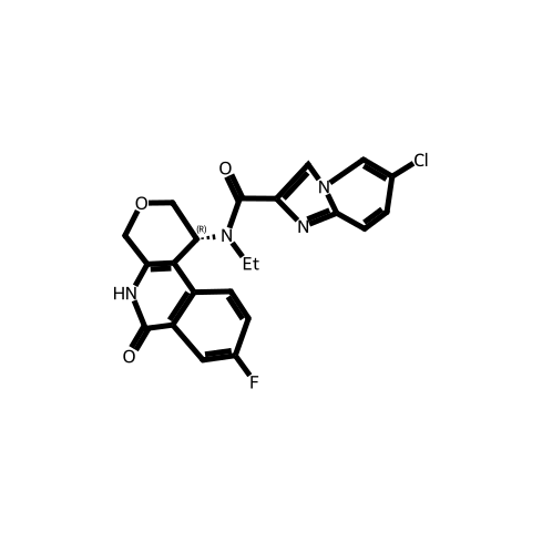 CCN(C(=O)c1cn2cc(Cl)ccc2n1)[C@H]1COCc2[nH]c(=O)c3cc(F)ccc3c21